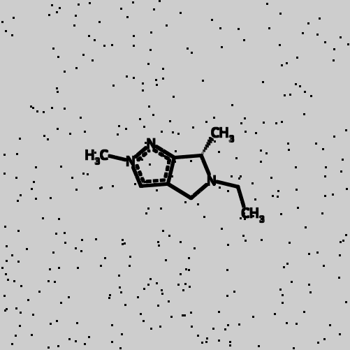 CCN1Cc2cn(C)nc2[C@@H]1C